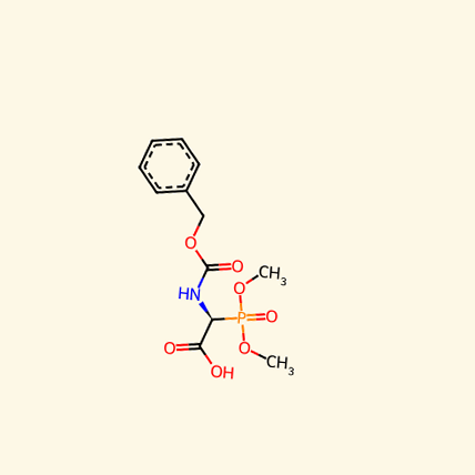 COP(=O)(OC)[C@H](NC(=O)OCc1ccccc1)C(=O)O